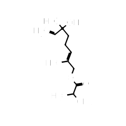 C=CC(C)(O)CC/C=C(\C)COC(=O)C(C)C